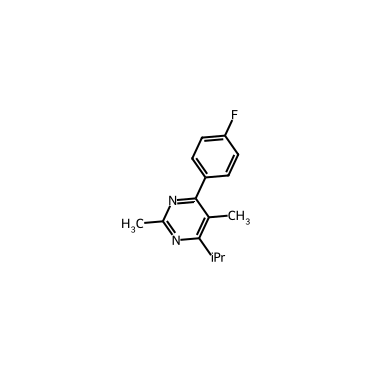 Cc1nc(-c2ccc(F)cc2)c(C)c(C(C)C)n1